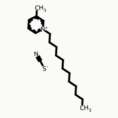 CCCCCCCCCCCC[n+]1cccc(C)c1.N#C[S-]